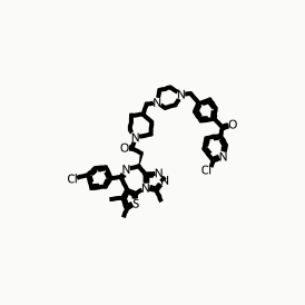 Cc1sc2c(c1C)C(c1ccc(Cl)cc1)=N[C@@H](CC(=O)N1CCC(CN3CCN(Cc4ccc(C(=O)c5ccc(Cl)nc5)cc4)CC3)CC1)c1nnc(C)n1-2